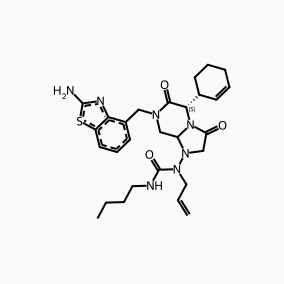 C=CCN(C(=O)NCCCC)N1CC(=O)N2C1CN(Cc1cccc3sc(N)nc13)C(=O)[C@@H]2C1C=CCCC1